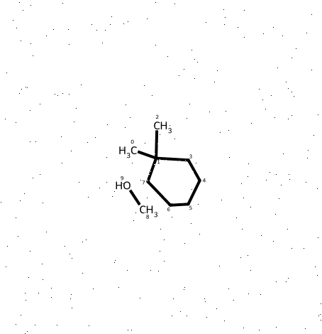 CC1(C)CCCCC1.CO